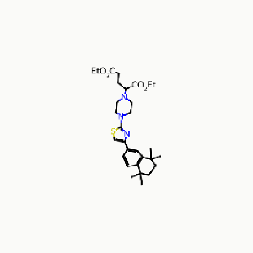 CCOC(=O)CCC(C(=O)OCC)N1CCN(c2nc(-c3ccc4c(c3)C(C)(C)CCC4(C)C)cs2)CC1